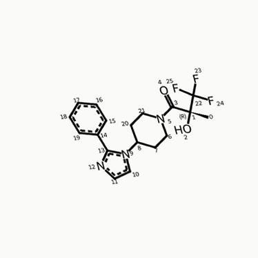 C[C@@](O)(C(=O)N1CCC(n2ccnc2-c2ccccc2)CC1)C(F)(F)F